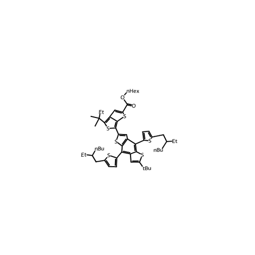 CCCCCCOC(=O)c1cc2c(C(C)(C)CC)sc(-c3cc4c(-c5ccc(CC(CC)CCCC)s5)c5sc(C(C)(C)C)cc5c(-c5ccc(CC(CC)CCCC)s5)c4s3)c2s1